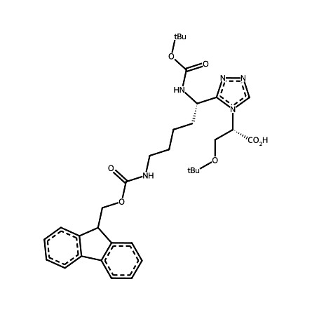 CC(C)(C)OC[C@@H](C(=O)O)n1cnnc1[C@H](CCCCNC(=O)OCC1c2ccccc2-c2ccccc21)NC(=O)OC(C)(C)C